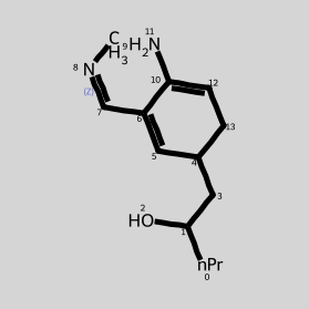 CCCC(O)CC1C=C(/C=N\C)C(N)=CC1